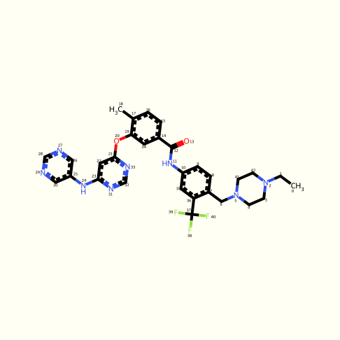 CCN1CCN(Cc2ccc(NC(=O)c3ccc(C)c(Oc4cc(Nc5cncnc5)ncn4)c3)cc2C(F)(F)F)CC1